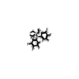 C[CH2][Sn]([CH2]C)([CH2]C)[GeH]([c]1c(F)c(F)c(F)c(F)c1F)[c]1c(F)c(F)c(F)c(F)c1F